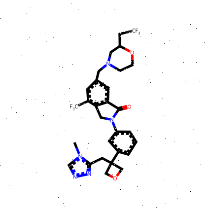 Cn1cnnc1CC1(c2cccc(N3Cc4c(cc(CN5CCOC(CC(F)(F)F)C5)cc4C(F)(F)F)C3=O)c2)COC1